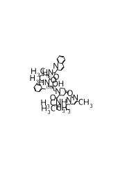 Cc1cc(C)nc(O[C@@H]2CCN(C[C@@H](O)[C@H](Cc3ccccc3)NC(=O)[C@@H](NC(=O)c3ccc4ccccc4n3)C(C)C)C(C(=O)NC(C)(C)C)C2)n1